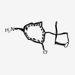 CC1(c2ccc(N)cc2Cl)COC1